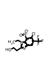 CCn1c(CCO)nc2cc(C(F)(F)F)c(Cl)c([N+](=O)[O-])c21